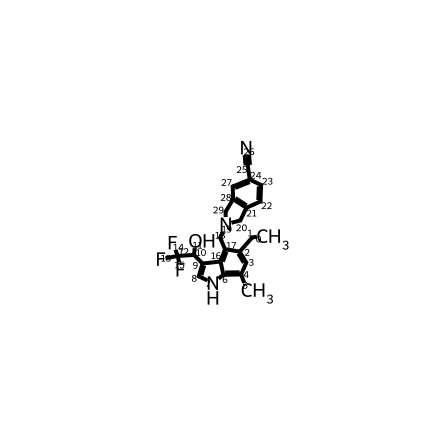 CCc1cc(C)c2[nH]cc(C(O)C(F)(F)F)c2c1CN1Cc2ccc(C#N)cc2C1